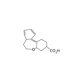 O=C(O)C1CCC2=C3C=CC=CC3CCOC2C1